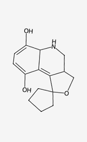 OC1=CC=C(O)C2NCC3COC4(CCCC4)C3=C12